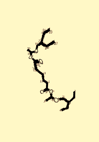 CCC(CC)COC(C)OC(=O)CCCCC(=O)OC(C)OCC(CC)CC